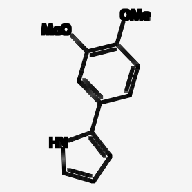 COc1ccc(-c2ccc[nH]2)cc1OC